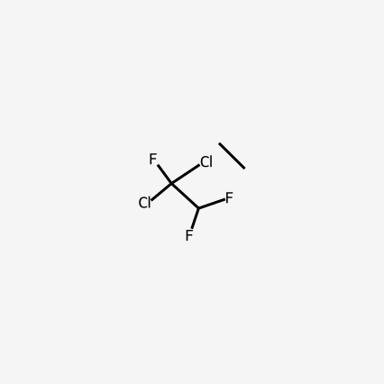 CC.FC(F)C(F)(Cl)Cl